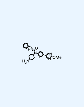 COc1ncc(-c2ccc(N(C(=O)NCc3ccccc3)C3CCC(N)CC3)nc2)cn1